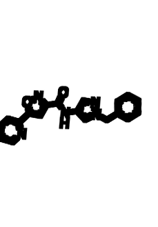 O=C(Nc1cnn(Cc2ccccc2)c1)c1cc(-c2ccccn2)on1